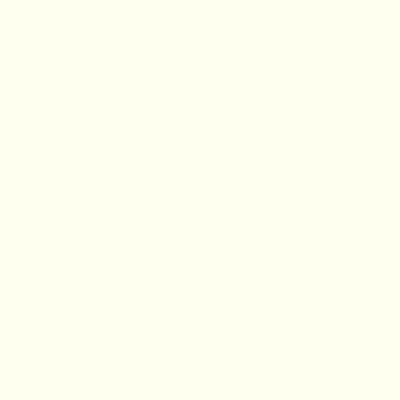 CCCCCC(C1CC(C)CCC1C(C)C)C1CC(C)CCC1C(C)C